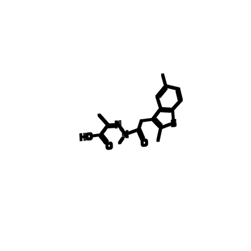 CC(=NN(C)C(=O)Cc1c(C)sc2ccc(C)cc12)C(=O)O